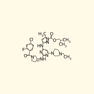 CCN1CCN(c2cc(Nc3cc(C)n(C(=O)OCC(C)C)n3)nc(N[C@H]3CCN(C(=O)c4ccc(Cl)cc4F)C3)n2)CC1